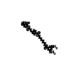 CCCCCCOc1ccc(OC(=O)/C=C/c2ccc(C(=O)OCCCCCCCCOC(=O)c3cc(N)cc(N)c3)cc2)cc1